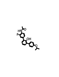 CC(=O)Nc1ccc(-c2cccc(-c3ccc(OC(C)C)cc3)c2O)cc1F